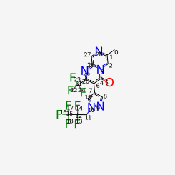 Cc1cn2c(=O)c(-c3cnn(CC(F)(F)C(F)(F)F)c3)c(C(F)(F)F)nc2cn1